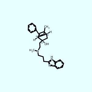 CC1=C(c2ccccc2)[C@H]2CC[C@@H]1C[C@]2(O)CCN(C)CCCc1nc2ccccc2[nH]1